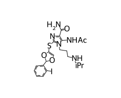 CC(=O)Nc1c(C(N)=O)nc(SC2=COC(c3ccccc3I)O2)n1CCCNC(C)C